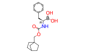 O=C(N[C@@H](Cc1ccccc1)B(O)O)OCC12CCC(CC1)C2